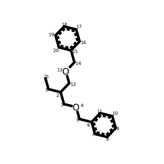 [CH2]CC(COCc1ccccc1)COCc1ccccc1